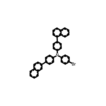 Brc1ccc(N(c2ccc(-c3ccc4ccccc4c3)cc2)c2ccc(-c3cccc4ccccc34)cc2)cc1